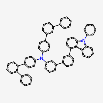 c1ccc(-c2cccc(-c3ccc(N(c4ccc(-c5ccccc5-c5ccccc5)cc4)c4cccc(-c5cccc(-c6cccc7c6c6ccccc6n7-c6ccccc6)c5)c4)cc3)c2)cc1